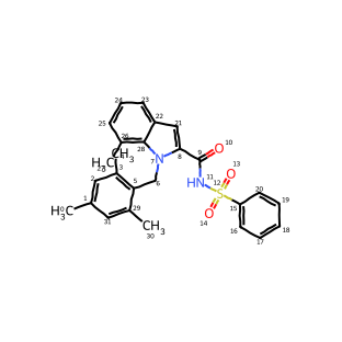 Cc1cc(C)c(Cn2c(C(=O)NS(=O)(=O)c3ccccc3)cc3cccc(C)c32)c(C)c1